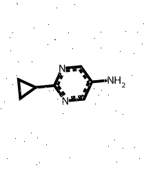 Nc1cnc(C2CC2)nc1